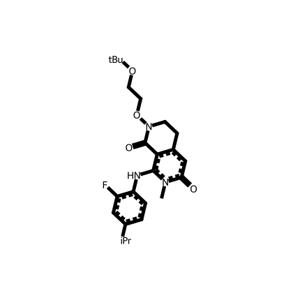 CC(C)c1ccc(Nc2c3c(cc(=O)n2C)CCN(OCCOC(C)(C)C)C3=O)c(F)c1